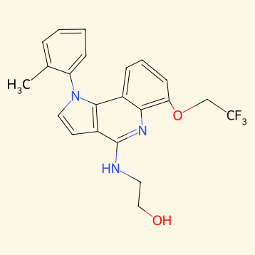 Cc1ccccc1-n1ccc2c(NCCO)nc3c(OCC(F)(F)F)cccc3c21